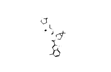 CC1(C)[C@@H]2[C@@H](C(=O)N[C@H](C#N)C[C@@H]3CCNC3=O)N(C(=O)c3cc4c(Cl)cccc4[nH]3)C[C@@H]21